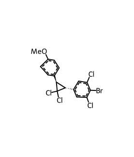 COc1ccc([C@H]2[C@H](c3cc(Cl)c(Br)c(Cl)c3)C2(Cl)Cl)cc1